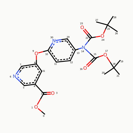 COC(=O)c1cncc(Oc2ccc(N(C(=O)OC(C)(C)C)C(=O)OC(C)(C)C)cn2)c1